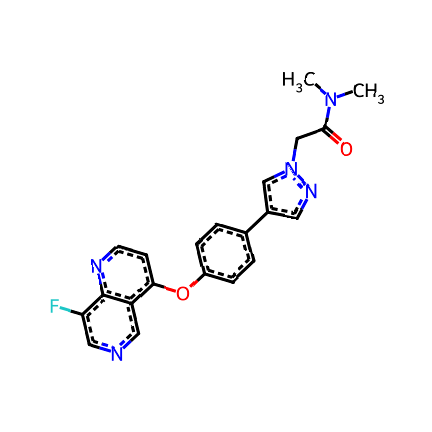 CN(C)C(=O)Cn1cc(-c2ccc(Oc3ccnc4c(F)cncc34)cc2)cn1